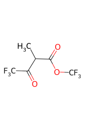 CC(C(=O)OC(F)(F)F)C(=O)C(F)(F)F